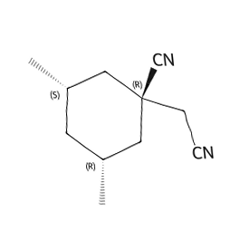 C[C@@H]1C[C@H](C)C[C@](C#N)(CC#N)C1